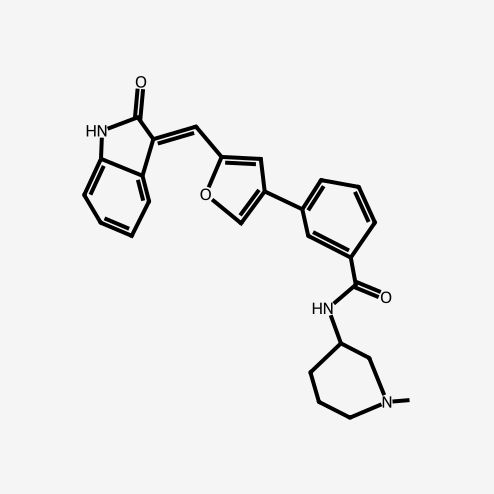 CN1CCCC(NC(=O)c2cccc(-c3coc(/C=C4/C(=O)Nc5ccccc54)c3)c2)C1